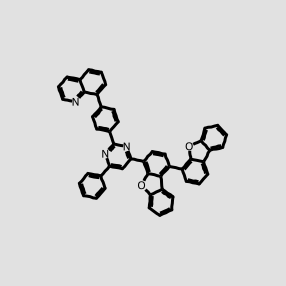 c1ccc(-c2cc(-c3ccc(-c4cccc5c4oc4ccccc45)c4c3oc3ccccc34)nc(-c3ccc(-c4cccc5cccnc45)cc3)n2)cc1